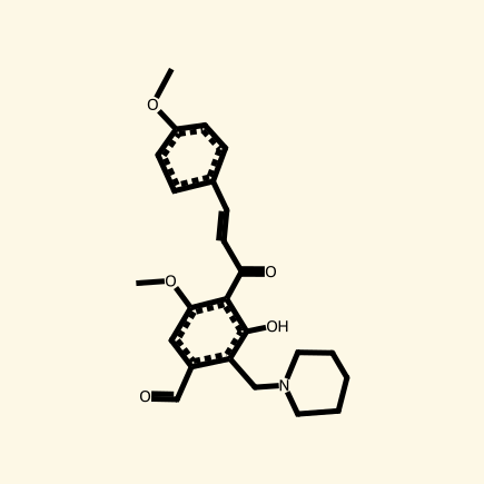 COc1ccc(/C=C/C(=O)c2c(OC)cc(C=O)c(CN3CCCCC3)c2O)cc1